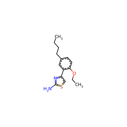 CCCCc1ccc(OCC)c(-c2csc(N)n2)c1